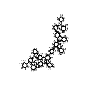 c1ccc(-c2ccc(-n3c4ccccc4c4cc(-c5cc(-c6ccc(-c7ccc(-n8c9ccccc9c9cc(-c%10cccc%11c%10c%10ccccc%10n%11-c%10ccccc%10)ccc98)c8sc9ccccc9c78)cc6)cc6c7ccccc7n(-c7ccccc7)c56)ccc43)c3sc4ccccc4c23)cc1